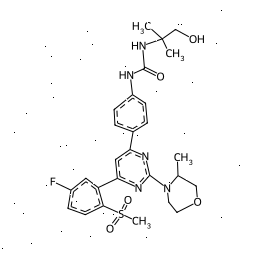 CC1COCCN1c1nc(-c2ccc(NC(=O)NC(C)(C)CO)cc2)cc(-c2cc(F)ccc2S(C)(=O)=O)n1